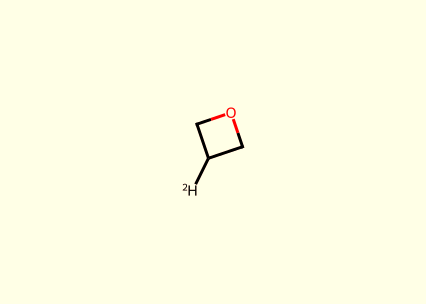 [2H]C1COC1